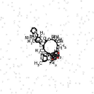 CC[C@H]1OC(=O)[C@H](C)[C@@H](OC2CC(C)(OC)C(O)(CN3CCCCC3)[C@@H](C)O2)[C@H](C)[C@@H](O[C@@H]2O[C@H](C)C[C@H](N(C)S(=O)(=O)c3ccccc3)[C@H]2Oc2ccnc(F)c2)[C@](C)(O)C[C@@H](C)CN[C@H](C)[C@@H](O)[C@]1(C)O